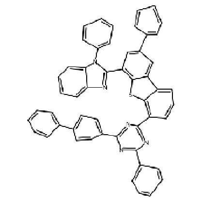 c1ccc(-c2ccc(-c3nc(-c4ccccc4)nc(-c4cccc5c4sc4c(-c6nc7ccccc7n6-c6ccccc6)cc(-c6ccccc6)cc45)n3)cc2)cc1